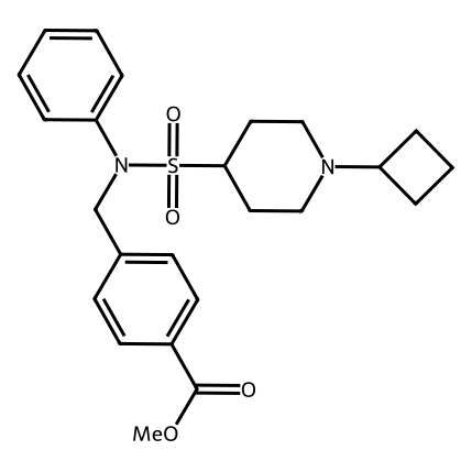 COC(=O)c1ccc(CN(c2ccccc2)S(=O)(=O)C2CCN(C3CCC3)CC2)cc1